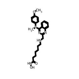 COc1ccc(N(C)c2nc(CNCCCCCCC(=O)NO)nc3ccccc23)cc1